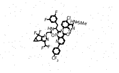 CSNc1nn(C)c2c(-n3c(C(Cc4cc(F)cc(F)c4)NC(=O)Cn4nc(C(F)F)c5c4C(F)(F)C4CC54)nc4nc(-c5ccc(C(F)(F)F)cc5)ccc4c3=O)ccc(Cl)c12